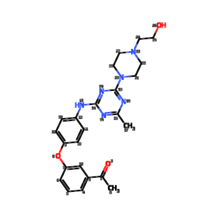 CC(=O)c1cccc(Oc2ccc(Nc3nc(C)nc(N4CCN(CCO)CC4)n3)cc2)c1